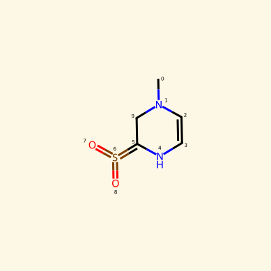 CN1C=CNC(=S(=O)=O)C1